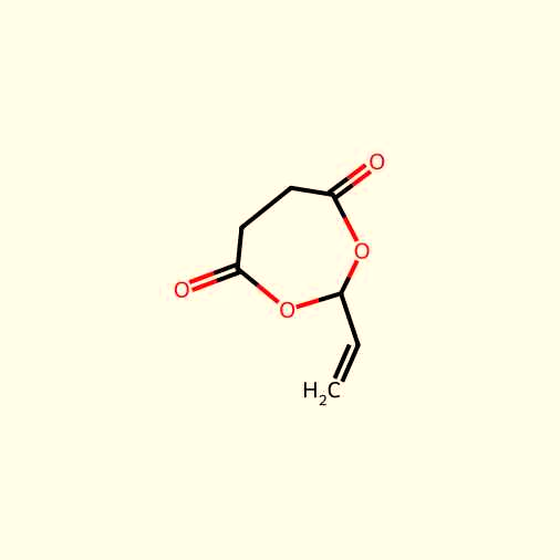 C=CC1OC(=O)CCC(=O)O1